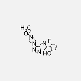 C=CC(=O)N1CCN(c2ncnc3cc(-c4c(O)cccc4F)ncc23)CC1